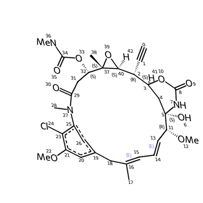 C#C[C@@H]1[C@@H]2C[C@@](O)(NC(=O)O2)[C@H](OC)/C=C/C=C(\C)Cc2cc(OC)c(Cl)c(c2)N(C)C(=O)C[C@H](OC(=O)NC)[C@]2(C)O[C@@H]12